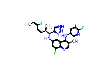 C=C(/C=C\C(F)=C/C)[C@H](Nc1cc(Cl)c2ncc(C#N)c(Nc3cnc(F)c(F)c3)c2c1)c1c[nH]nn1